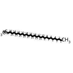 CCCCCCCCCCCCCCCCCCCCCCCCCCCCSC